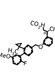 COc1ccc(F)c(-c2ccc(COc3cccc([C@H](C)CC(=O)O)c3)cc2C2(C)CC2)c1